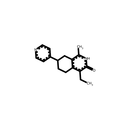 CCc1c2c(c(C)[nH]c1=O)CC(c1ccncc1)CC2